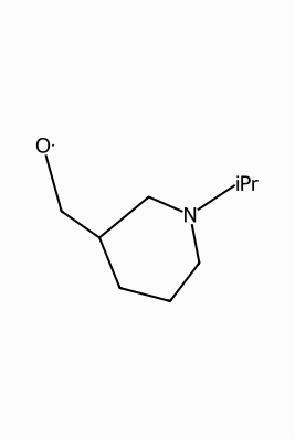 CC(C)N1CCCC(C[O])C1